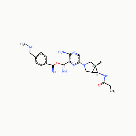 CCC(=O)N[C@H]1C2CN(c3cnc(N)c(C(=N)OC(=N)c4ccc(CNC)cc4)n3)C[C@@H]21